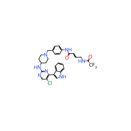 O=C(C=CCNC(=O)C(F)(F)F)Nc1ccc(CN2CCC(Nc3ncc(Cl)c(-c4c[nH]c5ccccc45)n3)CC2)cc1